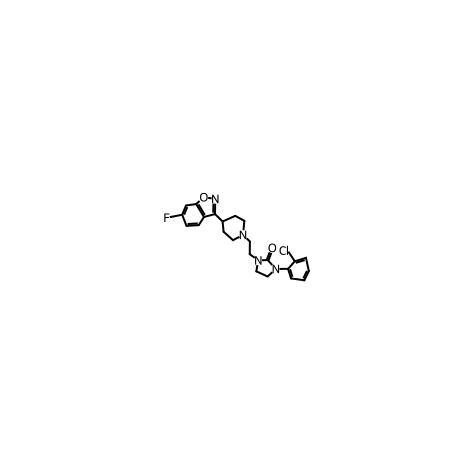 O=C1N(CCN2CCC(c3noc4cc(F)ccc34)CC2)CCN1c1ccccc1Cl